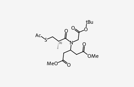 COC(=O)CC(CC(=O)OC)N(CC(=O)OC(C)(C)C)C(=O)[C@H](C)CSC(C)=O